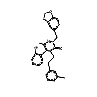 Cc1nn(Cc2ccc3c(c2)OCO3)c(=O)c(CCc2cccc(F)c2)c1-c1ccccc1O